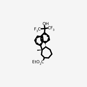 CCOC(=O)C1CCC[C@@H](c2ccc(C(O)(C(F)(F)F)C(F)(F)F)cc2)[C@@](C)(c2ccccc2)C1